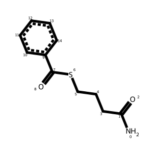 NC(=O)CCCSC(=O)c1ccccc1